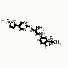 Cn1ccc(-c2cnc(OC/C(N)=C/Nc3ccc(F)c(C(C)(F)F)c3)nc2)n1